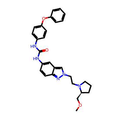 COC[C@@H]1CCCN1CCn1cc2cc(NC(=O)Nc3ccc(Oc4ccccc4)cc3)ccc2n1